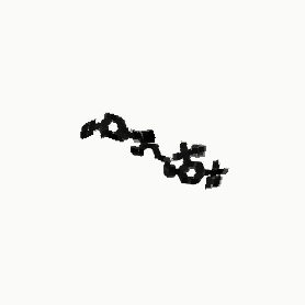 CCC(C)(C)c1ccc(OCCCC(=O)Nc2c[c]c(Cl)cc2)c(C(C)(C)CC)c1